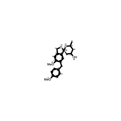 COc1ccc(Cc2cc3c(cc2OC)CO[C@@]32CC(O)CC(C)O2)cc1